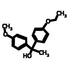 CCOc1ccc(C(C)(O)c2ccc(OC)cc2)cc1